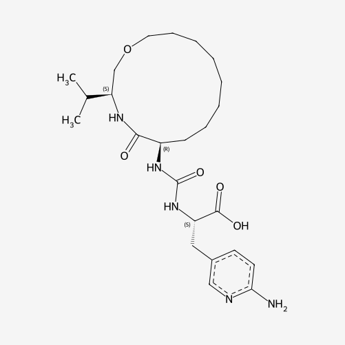 CC(C)[C@H]1COCCCCCCCC[C@@H](NC(=O)N[C@@H](Cc2ccc(N)nc2)C(=O)O)C(=O)N1